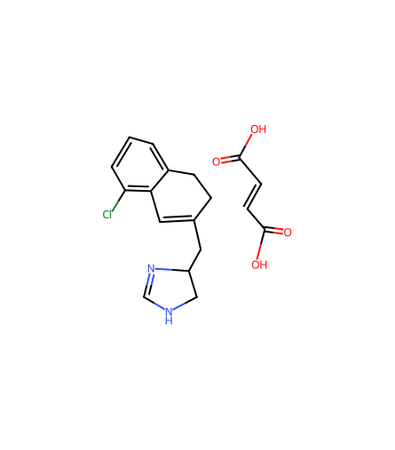 Clc1cccc2c1C=C(CC1CNC=N1)CC2.O=C(O)/C=C/C(=O)O